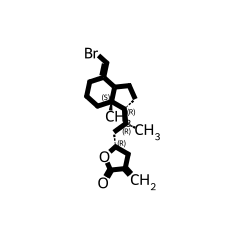 C=C1C[C@@H](C[C@@H](C)[C@H]2CCC3C(=CBr)CCC[C@]32C)OC1=O